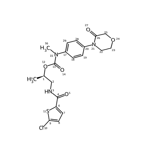 C[C@H](CNC(=O)c1ccc(Cl)s1)OC(=O)N(C)c1ccc(N2CCOCC2=O)cc1